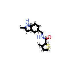 Cc1cc2cc(CNC(=O)c3sccc3C)ccc2[nH]1